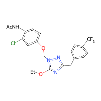 CCOc1nc(Cc2ccc(C(F)(F)F)cc2)nn1COc1ccc(NC(C)=O)c(Cl)c1